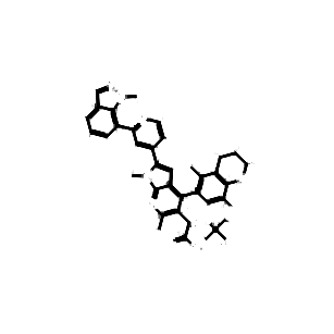 Cc1nc2c(cc(-c3ccnc(-c4cccc5cnn(C)c45)c3)n2C)c(-c2cc(F)c3c(c2C)CCCO3)c1[C@H](OC(C)(C)C)C(=O)O